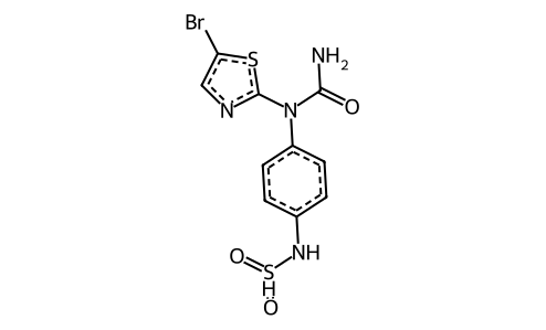 NC(=O)N(c1ccc(N[SH](=O)=O)cc1)c1ncc(Br)s1